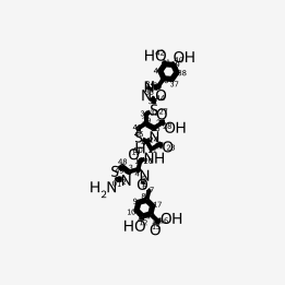 Nc1nc(C(=NOCc2ccc(O)c(C(=O)O)c2)C(=O)N[C@@H]2C(=O)N3C(C(=O)O)=C(CSc4nnc(-c5ccc(O)c(O)c5)o4)CS[C@@H]23)cs1